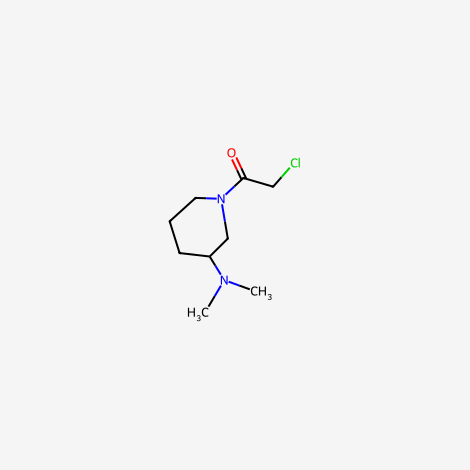 CN(C)C1CCCN(C(=O)CCl)C1